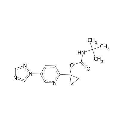 CC(C)(C)NC(=O)OC1(c2ccc(-n3cncn3)cn2)CC1